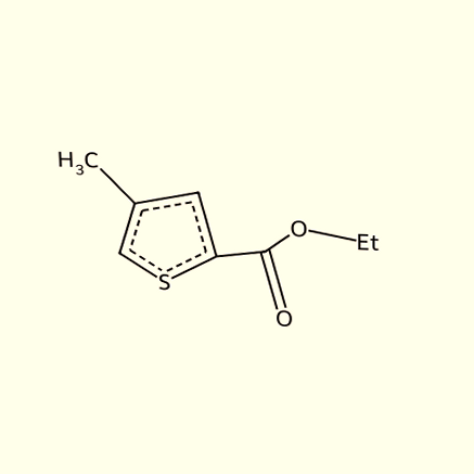 CCOC(=O)c1cc(C)cs1